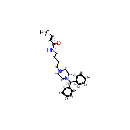 C/C=C/C(=O)NCCCCN1CCN(C(c2ccccc2)c2ccccc2)CC1